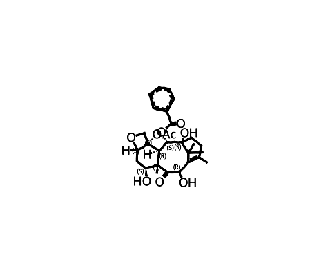 CC(=O)O[C@@]12CO[C@H]1C[C@H](O)[C@@]1(C)C(=O)[C@H](O)C3=C(C)CC[C@@](O)([C@@H](OC(=O)c4ccccc4)[C@H]21)C3(C)C